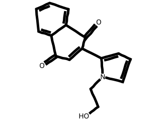 O=C1C=C(c2cccn2CCO)C(=O)c2ccccc21